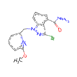 COc1cccc(Cn2nc(Br)c3c(C(N)=O)cccc32)n1